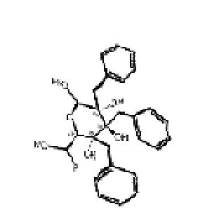 OC(F)[C@H]1OC(O)[C@@](O)(Cc2ccccc2)[C@](O)(Cc2ccccc2)[C@@]1(O)Cc1ccccc1